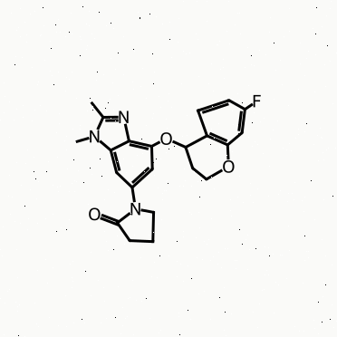 Cc1nc2c(OC3CCOc4cc(F)ccc43)cc(N3CCCC3=O)cc2n1C